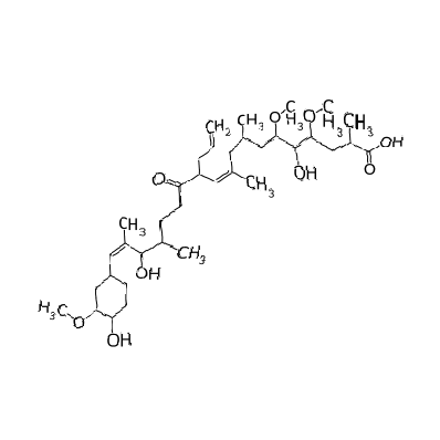 C=CCC(C=C(C)CC(C)CC(OC)C(O)C(CC(C)C(=O)O)OC)C(=O)CCC(C)C(O)C(C)=CC1CCC(O)C(OC)C1